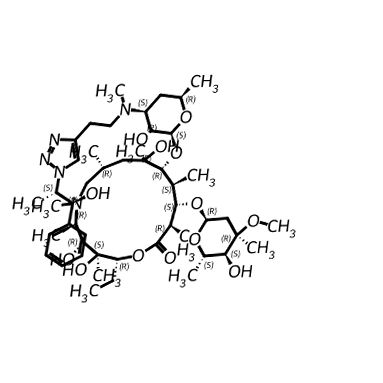 CC[C@H]1OC(=O)[C@H](C)[C@@H](O[C@H]2C[C@@](C)(OC)[C@@H](O)[C@H](C)O2)[C@H](C)[C@@H](O[C@@H]2O[C@H](C)C[C@H](N(C)CCc3cn([C@@H](C)[C@@H](O)c4ccccc4)nn3)[C@H]2O)[C@](C)(O)C[C@@H](C)CN(C)[C@H](C)[C@@H](O)[C@]1(C)O